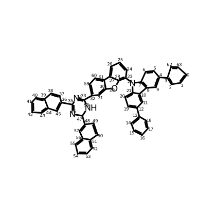 c1ccc(-c2ccc3c(c2)c2cc(-c4ccccc4)ccc2n3-c2cccc3c2oc2cc(C4=NC(c5ccc6ccccc6c5)=NC(c5ccc6ccccc6c5)N4)ccc23)cc1